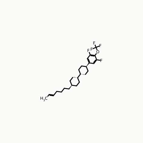 C/C=C/CCCC[C@H]1CC[C@H]([C@H]2CC[C@H](c3cc(F)c(OC(F)(F)F)c(F)c3)CC2)CC1